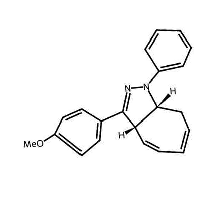 COc1ccc(C2=NN(c3ccccc3)[C@@H]3CC=CC=C[C@H]23)cc1